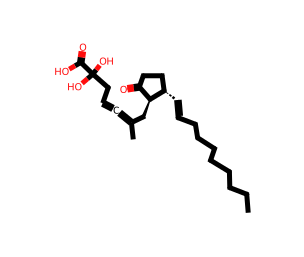 CCCCCCCCC=C[C@H]1CCC(=O)[C@@H]1CC(C)=C=CCC(O)(O)C(=O)O